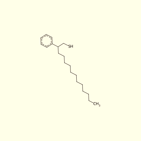 CCCCCCCCCCCCC(CS)c1ccccc1